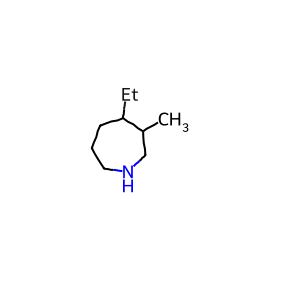 CCC1CCCNCC1C